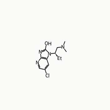 CC[C@H](CN(C)C)n1c(O)nc2ncc(Cl)cc21